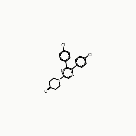 O=C1CCN(c2cnc(-c3ccc(Cl)cc3)c(-c3ccc(Cl)cc3)n2)CC1